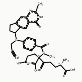 C#CCN(c1ccc(C(=O)N(C)[C@@](CCC(=O)O)(C(=O)O)C(=O)CC[C@H](N)C(=O)O)cc1)C1CCc2cc3nc(C)[nH]c(=O)c3cc21